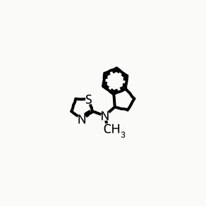 CN(C1=NCCS1)C1CCc2ccccc21